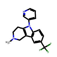 CN1CCc2c(c3cc(C(F)(F)F)ccc3n2-c2cccnc2)C1